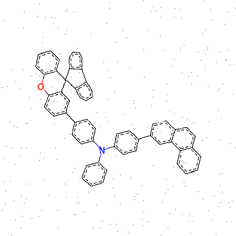 c1ccc(N(c2ccc(-c3ccc4c(c3)C3(c5ccccc5O4)c4ccccc4-c4ccccc43)cc2)c2ccc(-c3ccc4ccc5ccccc5c4c3)cc2)cc1